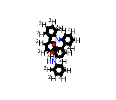 [2H]c1cc(Nc2c([2H])c([2H])c([2H])c([2H])c2[2H])c([2H])c([2H])c1-c1c([2H])c([2H])c([2H])c([2H])c1-n1c2c([2H])c([2H])c([2H])c([2H])c2c2c([2H])c([2H])c([2H])c([2H])c21